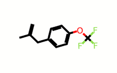 C=C(C)Cc1ccc(OC(F)(F)F)cc1